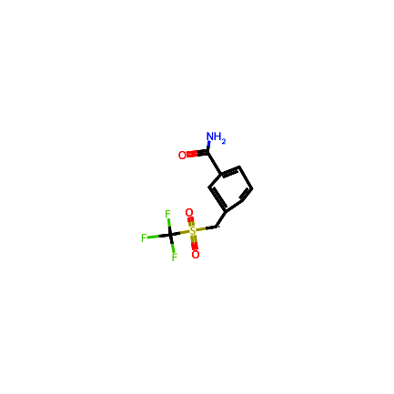 NC(=O)c1cccc([CH]S(=O)(=O)C(F)(F)F)c1